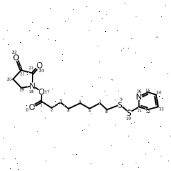 O=C(CCCCCCCSSc1ccccn1)ON1CCC(=O)C1=O